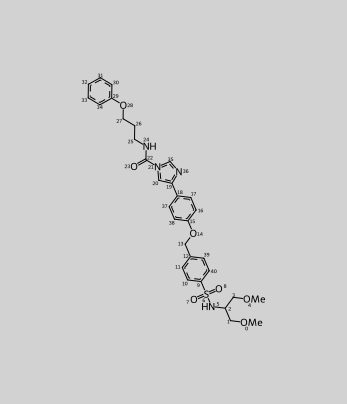 COCC(COC)NS(=O)(=O)c1ccc(COc2ccc(-c3cn(C(=O)NCCCOc4ccccc4)cn3)cc2)cc1